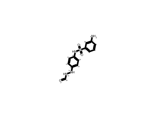 Nc1cccc(S(=O)(=O)Nc2ccc(NNC=O)cc2)c1